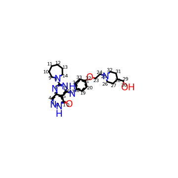 O=c1[nH]ncc2nc(N3CCCCCC3)nc(Nc3ccc(OCCN4CCC(CO)CC4)cc3)c12